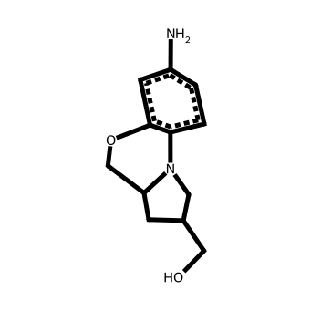 Nc1ccc2c(c1)OCC1CC(CO)CN21